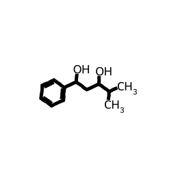 CC(C)C(O)CC(O)c1ccccc1